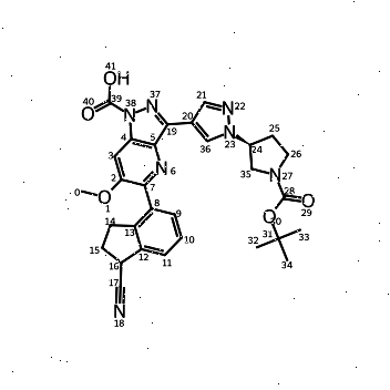 COc1cc2c(nc1-c1cccc3c1CCC3C#N)c(-c1cnn([C@H]3CCN(C(=O)OC(C)(C)C)C3)c1)nn2C(=O)O